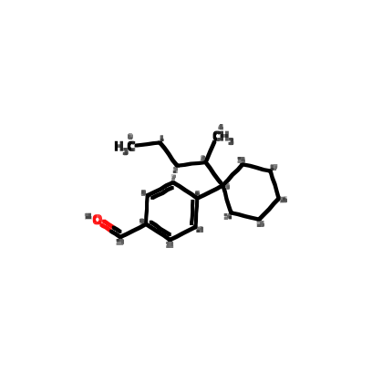 CCCC(C)C1(c2ccc(C=O)cc2)CCCCC1